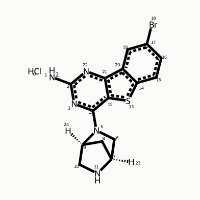 Cl.Nc1nc(N2C[C@@H]3C[C@H]2CN3)c2sc3ccc(Br)cc3c2n1